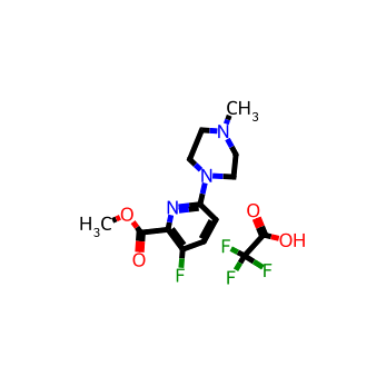 COC(=O)c1nc(N2CCN(C)CC2)ccc1F.O=C(O)C(F)(F)F